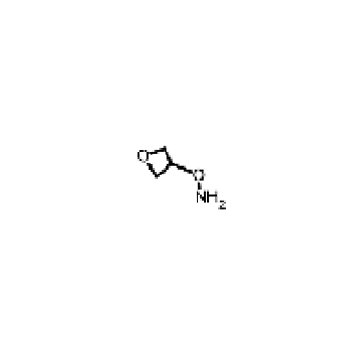 NOC1COC1